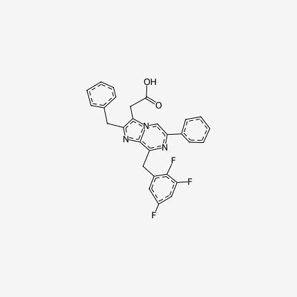 O=C(O)Cc1c(Cc2ccccc2)nc2c(Cc3cc(F)cc(F)c3F)nc(-c3ccccc3)cn12